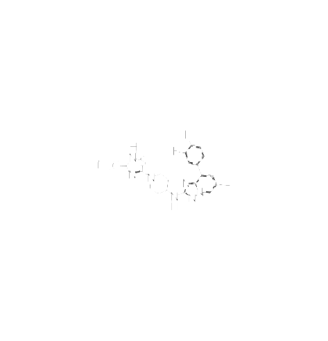 CC1N=C(N2CCC(Nc3nc4c(-c5ccc(F)c(F)c5)cc(F)cn4n3)CC2)SN1